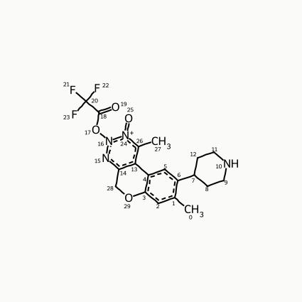 Cc1cc2c(cc1C1CCNCC1)-c1c(nn(OC(=O)C(F)(F)F)[n+](=O)c1C)CO2